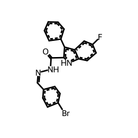 O=C(N/N=C\c1ccc(Br)cc1)c1[nH]c2ccc(F)cc2c1-c1ccccc1